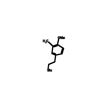 COc1ccc(CCC(C)(C)C)cc1C